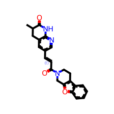 CC1Cc2cc(/C=C/C(=O)N3CCc4c(oc5ccccc45)C3)cnc2NC1=O